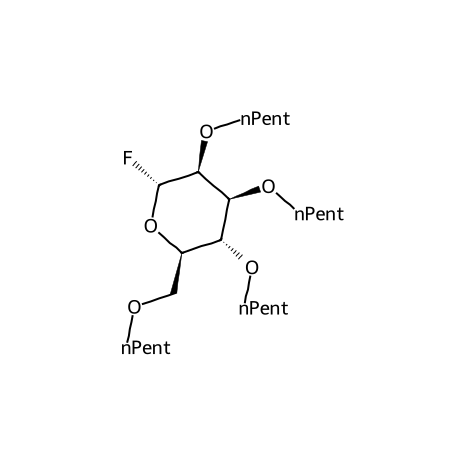 CCCCCOC[C@H]1O[C@H](F)[C@@H](OCCCCC)[C@@H](OCCCCC)[C@@H]1OCCCCC